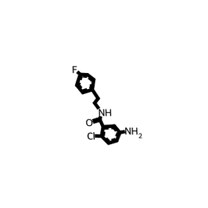 Nc1ccc(Cl)c(C(=O)NCCc2ccc(F)cc2)c1